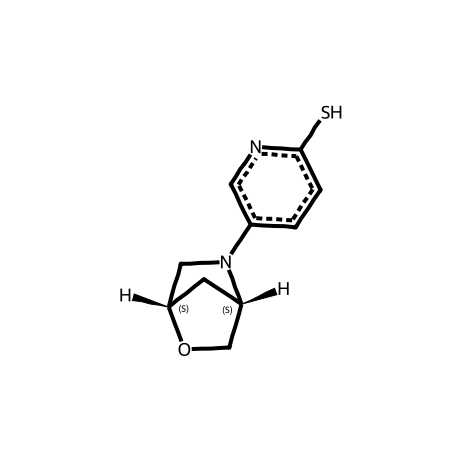 Sc1ccc(N2C[C@@H]3C[C@H]2CO3)cn1